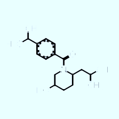 CC(C)CC1CCC(O)CN1C(=O)c1ccc(C(C)C)cc1